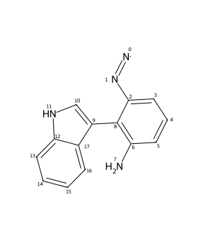 [N]=Nc1cccc(N)c1-c1c[nH]c2ccccc12